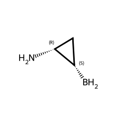 B[C@H]1C[C@H]1N